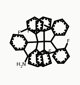 NCc1ccccc1C(c1ccccc1F)(c1ccccc1F)C(c1ccccc1F)(c1ccccc1F)C(c1ccccc1F)c1ccccc1F